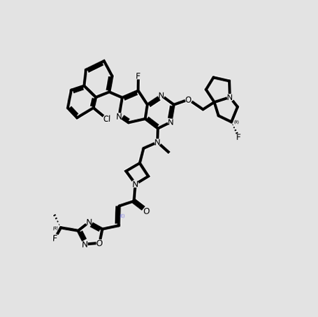 C[C@@H](F)c1noc(/C=C/C(=O)N2CC(CN(C)c3nc(OCC45CCCN4C[C@H](F)C5)nc4c(F)c(-c5cccc6cccc(Cl)c56)ncc34)C2)n1